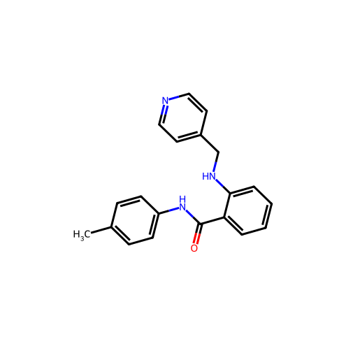 Cc1ccc(NC(=O)c2ccccc2NCc2ccncc2)cc1